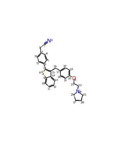 N#CCc1ccc(-c2sc3ccccc3c2Cc2ccc(OCCN3CCCC3)cc2)cc1